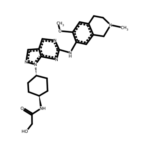 COc1cc2c(cc1Nc1ncc3cnn([C@H]4CC[C@H](NC(=O)CO)CC4)c3n1)CN(C)CC2